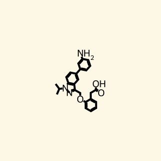 CC(C)n1nc(COc2ccccc2CC(=O)O)c2cc(-c3cccc(N)c3)ccc21